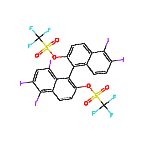 O=S(=O)(Oc1ccc2c(I)c(I)ccc2c1-c1c(OS(=O)(=O)C(F)(F)F)ccc2c(I)c(I)cc(I)c12)C(F)(F)F